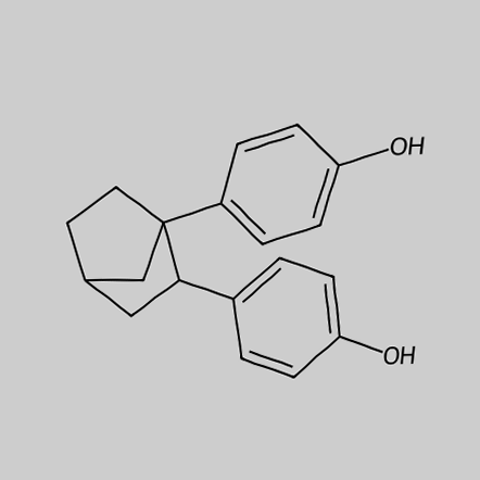 Oc1ccc(C2CC3CCC2(c2ccc(O)cc2)C3)cc1